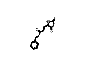 O=C(CCC1NC(=O)OC1=O)OCc1ccccc1